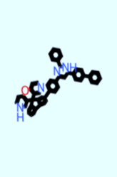 C1=CC2=C(CN1)C1(c3cnccc3O2)c2ccccc2-c2ccc(-c3ccc(C4=CC(c5ccc(-c6ccccc6)cc5)NC(c5ccccc5)=N4)cc3)cc21